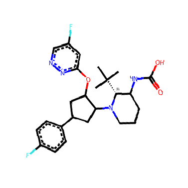 CC(C)(C)[C@@H]1C(NC(=O)O)CCCN1C1CC(c2ccc(F)cc2)CC1Oc1cc(F)cnn1